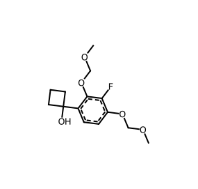 COCOc1ccc(C2(O)CCC2)c(OCOC)c1F